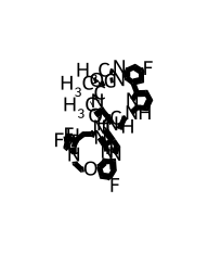 CO[C@H]1CN(C)C(=O)[C@@H]2C[C@@H](CN2c2nc3nc4c2cnn4-c2ccc(F)cc2OCCN2C[C@@H](C3)C(F)(F)C2)Nc2cccc(n2)-c2cc(F)cc3nc(C)n(c23)C1